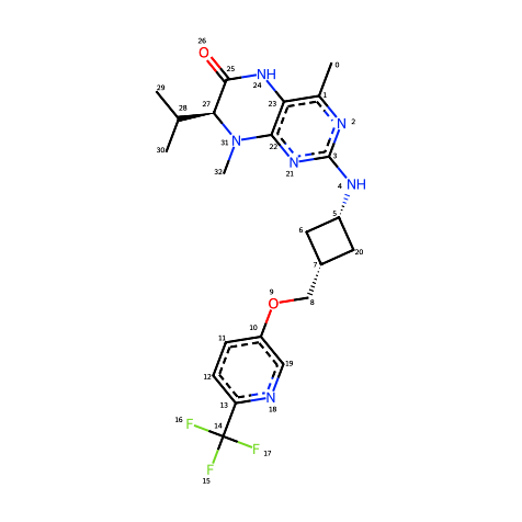 Cc1nc(N[C@H]2C[C@@H](COc3ccc(C(F)(F)F)nc3)C2)nc2c1NC(=O)[C@H](C(C)C)N2C